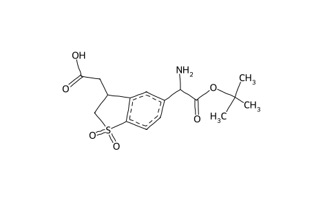 CC(C)(C)OC(=O)C(N)c1ccc2c(c1)C(CC(=O)O)CS2(=O)=O